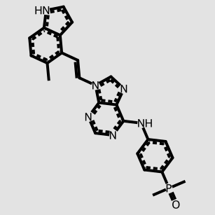 Cc1ccc2[nH]ccc2c1C=Cn1cnc2c(Nc3ccc(P(C)(C)=O)cc3)ncnc21